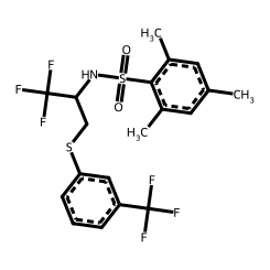 Cc1cc(C)c(S(=O)(=O)NC(CSc2cccc(C(F)(F)F)c2)C(F)(F)F)c(C)c1